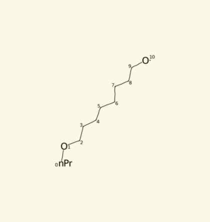 CCCOCCCCCCCC[O]